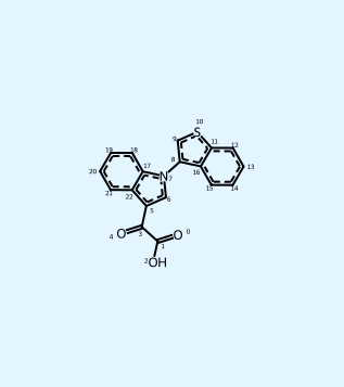 O=C(O)C(=O)c1cn(-c2csc3ccccc23)c2ccccc12